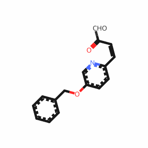 O=CC(=O)/C=C\c1ccc(OCc2ccccc2)cn1